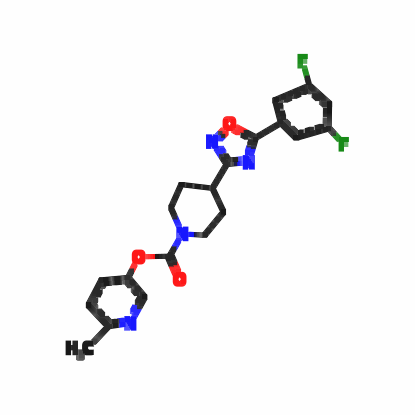 Cc1ccc(OC(=O)N2CCC(c3noc(-c4cc(F)cc(F)c4)n3)CC2)cn1